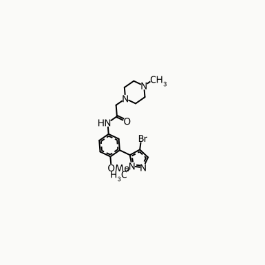 COc1ccc(NC(=O)CN2CCN(C)CC2)cc1-c1c(Br)cnn1C